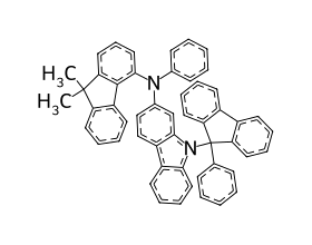 CC1(C)c2ccccc2-c2c(N(c3ccccc3)c3ccc4c5ccccc5n(C5(c6ccccc6)c6ccccc6-c6ccccc65)c4c3)cccc21